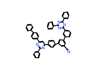 N#Cc1cc(-c2ccc(-c3cc(-c4ccc(-c5ccccc5)cc4)nc(-c4ccccc4)n3)cc2)cc(-c2cccc(-c3nc(-c4ccccc4)nc(-c4ccccc4)n3)c2)c1